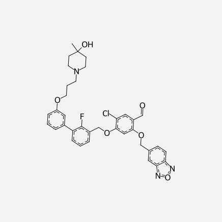 CC1(O)CCN(CCCOc2cccc(-c3cccc(COc4cc(OCc5ccc6nonc6c5)c(C=O)cc4Cl)c3F)c2)CC1